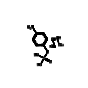 CCCCO.CCCCO.O=[N+]([O-])c1ccc(OP(=O)(O)O)cc1